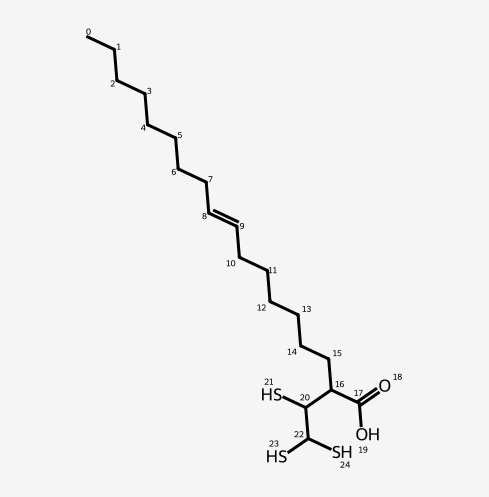 CCCCCCCCC=CCCCCCCC(C(=O)O)C(S)C(S)S